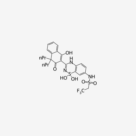 CCCC1(CCC)C(=O)C(C2=NS(O)(O)c3cc(NS(=O)(=O)CC(F)(F)F)ccc3N2)=C(O)c2ccccc21